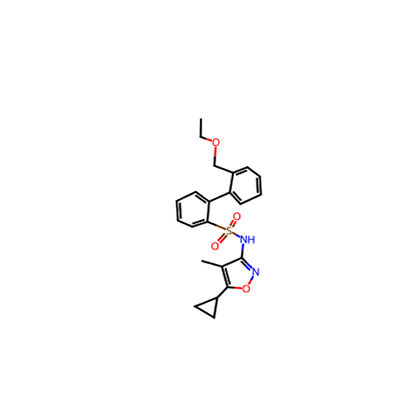 CCOCc1ccccc1-c1ccccc1S(=O)(=O)Nc1noc(C2CC2)c1C